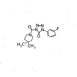 CC1(C)CCN(C(=O)n2nnn(-c3cccc(F)c3)c2=O)CC1